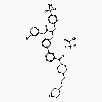 NS(=O)(=O)c1ccc(CN(Cc2cccc(-c3cccc(C(=O)N4CCC(CCCC5CCNCC5)CC4)c3)c2)C(=O)Cc2cccc(Br)c2)cc1.O=C(O)C(F)(F)F